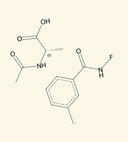 CC(=O)N[C@@H](C)C(=O)O.[CH2]c1cccc(C(=O)NF)c1